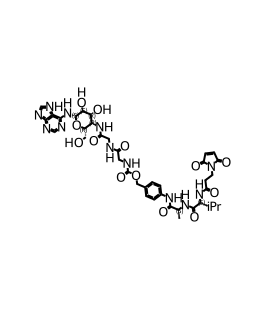 CC(C)[C@H](NC(=O)CCN1C(=O)C=CC1=O)C(=O)N[C@@H](C)C(=O)Nc1ccc(COC(=O)NCC(=O)NCC(=O)N[C@@H]2[C@@H](O)[C@H](O)[C@@H](Nc3ncnc4nc[nH]c34)O[C@H]2CO)cc1